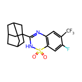 O=S1(=O)NC(C23CC4CC(CC(C4)C2)C3)=Nc2cc(C(F)(F)F)c(F)cc21